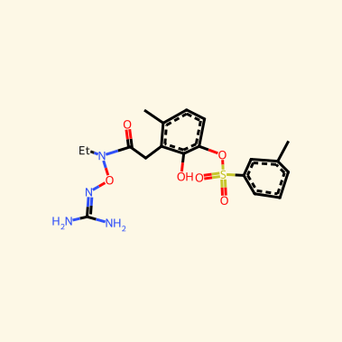 CCN(ON=C(N)N)C(=O)Cc1c(C)ccc(OS(=O)(=O)c2cccc(C)c2)c1O